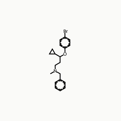 CN(CCC(Oc1ccc(Br)cc1)C1CC1)Cc1ccccc1